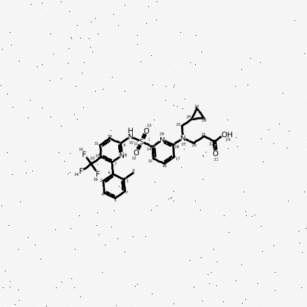 Cc1ccccc1-c1nc(NS(=O)(=O)c2cccc(N(CCC(=O)O)CC3CC3)n2)ccc1C(F)(F)F